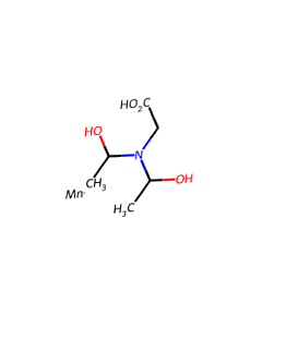 CC(O)N(CC(=O)O)C(C)O.[Mn]